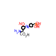 NC(Cc1ccc(O)c(N=Nc2ccc(CP(=O)(O)O)cc2)c1)C(=O)O